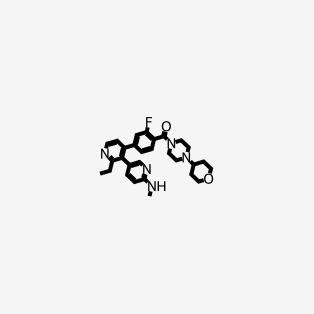 CCc1nccc(-c2ccc(C(=O)N3CCN(C4CCOCC4)CC3)c(F)c2)c1-c1ccc(NC)nc1